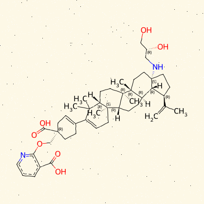 C=C(C)[C@@H]1CC[C@]2(NC[C@@H](O)CO)CC[C@]3(C)[C@H](CC[C@@H]4[C@@]5(C)CC=C(C6=CC[C@](COc7ncccc7C(=O)O)(C(=O)O)CC6)C(C)(C)[C@@H]5CC[C@]43C)[C@@H]12